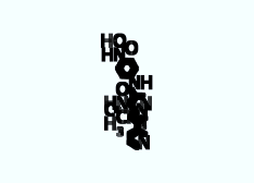 CC(C)Nc1c(C(=O)N[C@H]2CC[C@H](NC(=O)O)CC2)cnn2cc(-c3cccnc3)cc12